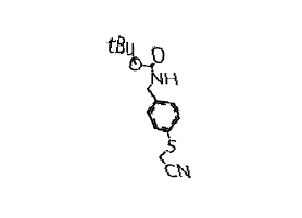 CC(C)(C)OC(=O)NCc1ccc(SCC#N)cc1